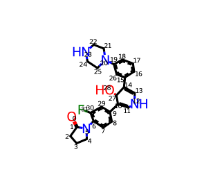 O=C1CCCN1c1ccc(C2=CNC=C(c3cccc(N4CCNCC4)c3)C2O)cc1F